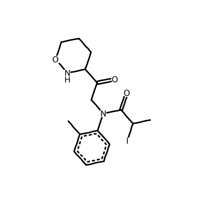 Cc1ccccc1N(CC(=O)C1CCCON1)C(=O)C(C)I